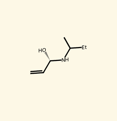 C=C[C@H](O)NC(C)CC